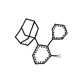 Clc1cccc(C23CC4CC(CC(C4)C2)C3)c1-c1ccccc1